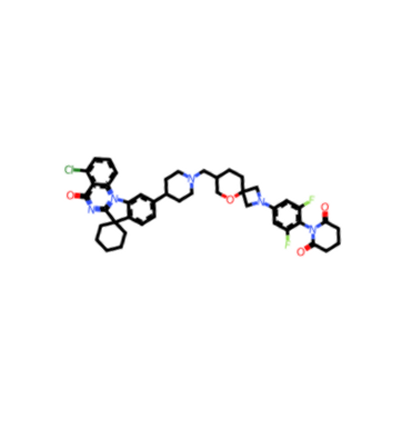 O=C1CCCC(=O)N1c1c(F)cc(N2CC3(CCC(CN4CCC(c5ccc6c(c5)-n5c(nc(=O)c7c(Cl)cccc75)C65CCCCC5)CC4)CO3)C2)cc1F